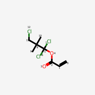 C=CC(=O)OC(Cl)(Cl)C(C)(C)CCl